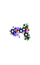 C[C@H](NC(=O)c1ccc2c(c1)cc(C(F)(F)F)c(=O)n2-c1ccc(C(F)(F)F)cc1)c1cccc(N)n1